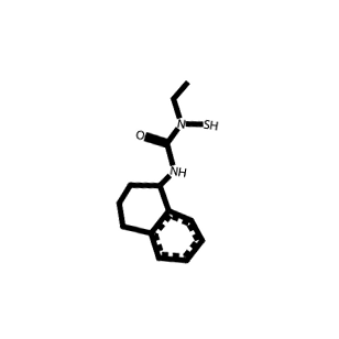 CCN(S)C(=O)NC1CCCc2ccccc21